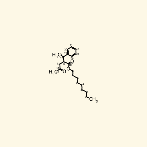 CCCCCCCCCOC(=O)C(CC(C)=O)C(C)c1ccccc1